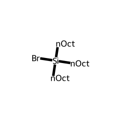 CCCCCCCC[Si](Br)(CCCCCCCC)CCCCCCCC